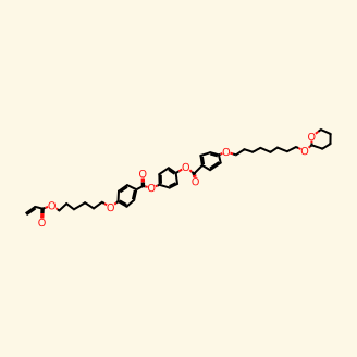 C=CC(=O)OCCCCCCOc1ccc(C(=O)Oc2ccc(OC(=O)c3ccc(OCCCCCCCCOC4CCCCO4)cc3)cc2)cc1